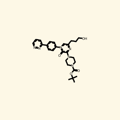 CC(C)(C)OC(=O)N1CCN(c2nc(CCCO)cn(-c3ccc(-c4cccnn4)cc3)c2=O)CC1